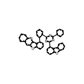 c1ccc(-c2nc(-c3ccccc3-c3cccc4oc5cc6ccccc6nc5c34)nc(-c3cccc4oc5ccccc5c34)n2)cc1